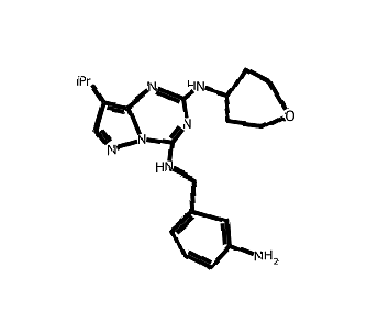 CC(C)c1cnn2c(NCc3cccc(N)c3)nc(NC3CCOCC3)nc12